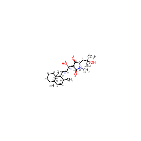 CCC(C)C(O)(CC1C(=O)/C(=C(O)/C=C/[C@@H]2[C@H]3CCCC[C@@H]3C=C[C@@H]2C)C(=O)N1C)C(=O)O